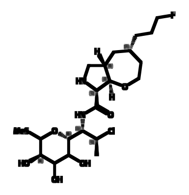 CSC1O[C@H]([C@H](NC(=O)[C@H]2NC[C@@H]3C[C@H](CCCF)CCO[C@H]32)[C@H](C)Cl)C(O)C(O)[C@H]1O